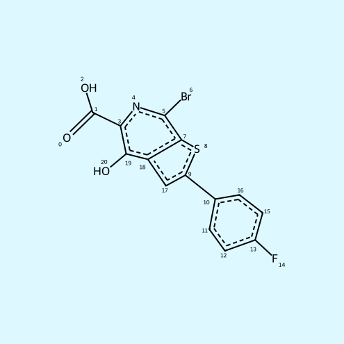 O=C(O)c1nc(Br)c2sc(-c3ccc(F)cc3)cc2c1O